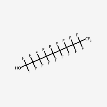 OC(F)(I)C(F)(F)C(F)(F)C(F)(F)C(F)(F)C(F)(F)C(F)(F)C(F)(F)C(F)(F)C(F)(F)F